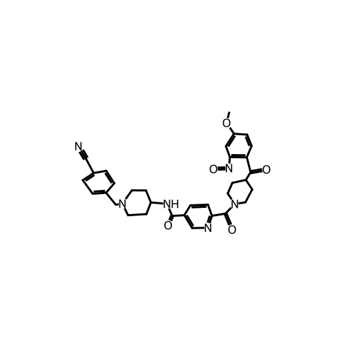 COc1ccc(C(=O)C2CCN(C(=O)c3ccc(C(=O)NC4CCN(Cc5ccc(C#N)cc5)CC4)cn3)CC2)c(N=O)c1